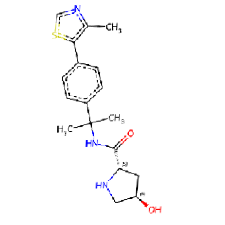 Cc1ncsc1-c1ccc(C(C)(C)NC(=O)[C@@H]2C[C@@H](O)CN2)cc1